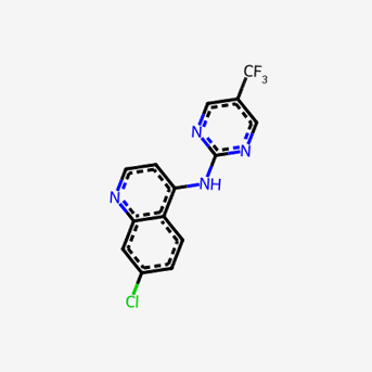 FC(F)(F)c1cnc(Nc2ccnc3cc(Cl)ccc23)nc1